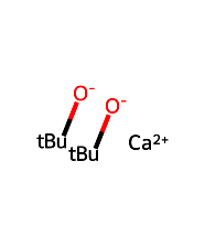 CC(C)(C)[O-].CC(C)(C)[O-].[Ca+2]